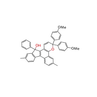 COc1ccc(C2(c3ccc(OC)cc3)C=Cc3c4c(c5ccc(C)cc5c3O2)-c2ccc(C)cc2C4(O)c2ccccc2)cc1